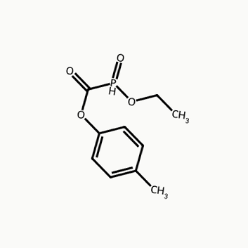 CCO[PH](=O)C(=O)Oc1ccc(C)cc1